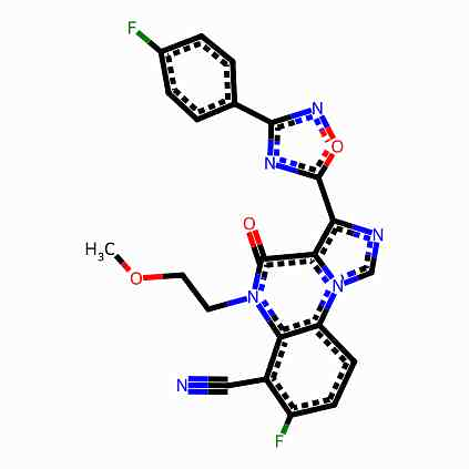 COCCn1c(=O)c2c(-c3nc(-c4ccc(F)cc4)no3)ncn2c2ccc(F)c(C#N)c21